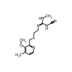 CN/C(=N/CCSCc1nccc(C)c1OC)NC#N